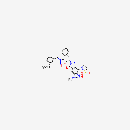 CCn1cnc2c(N3CCCS3(O)O)cc(C(=O)N[C@@H](Cc3ccccc3)[C@@H](O)CNCc3cccc(OC)c3)cc21